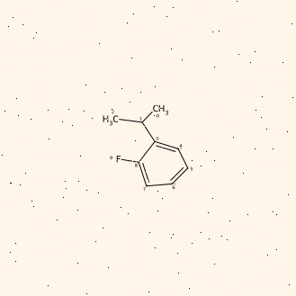 CC(C)c1[c]c[c]cc1F